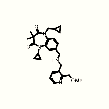 COCc1ncccc1CNCc1ccc2c(c1)N(C1CC1)C(=O)C(C)(C)C(=O)N2CC1CC1